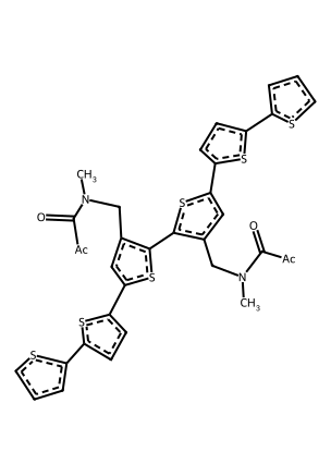 CC(=O)C(=O)N(C)Cc1cc(-c2ccc(-c3cccs3)s2)sc1-c1sc(-c2ccc(-c3cccs3)s2)cc1CN(C)C(=O)C(C)=O